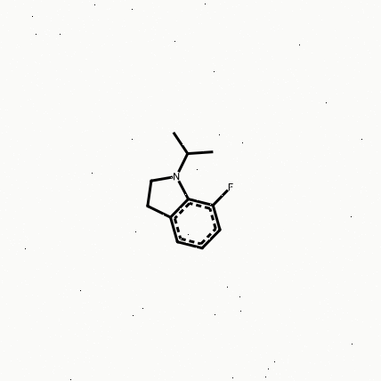 CC(C)N1CCc2cccc(F)c21